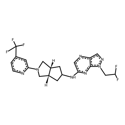 FC(F)Cn1ncc2ncc(NC3C[C@@H]4CN(c5cc(C(F)(F)F)ccn5)C[C@@H]4C3)nc21